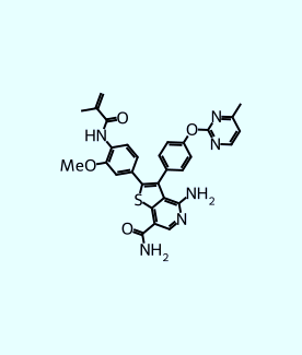 C=C(C)C(=O)Nc1ccc(-c2sc3c(C(N)=O)cnc(N)c3c2-c2ccc(Oc3nccc(C)n3)cc2)cc1OC